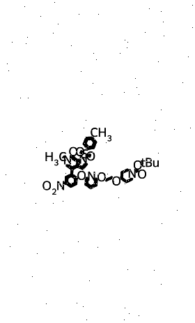 Cc1ccc(S(=O)(=O)n2ccc3c(-c4cc([N+](=O)[O-])ccc4Oc4cccc(OCCOC5CCN(C(=O)OC(C)(C)C)CC5)n4)cn(C)c(=O)c32)cc1